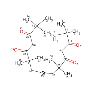 CC(C)(C)C(=O)CC(=O)C(C)(C)[CH2][Sr][CH2]C(C)(C)C(=O)CC(=O)C(C)(C)C